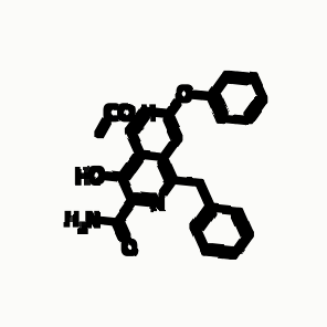 CC(=O)O.NC(=O)c1nc(Cc2ccccc2)c2cc(Oc3ccccc3)ccc2c1O